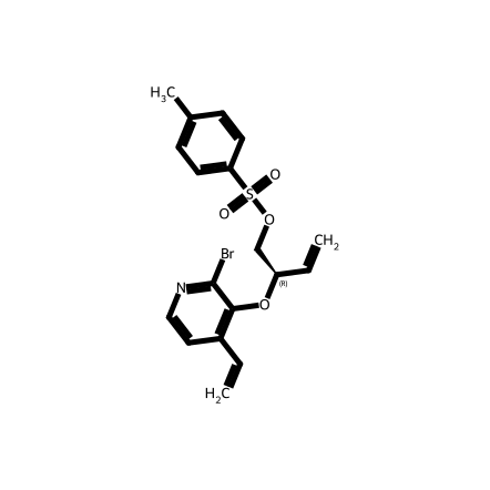 C=Cc1ccnc(Br)c1O[C@H](C=C)COS(=O)(=O)c1ccc(C)cc1